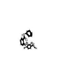 O=C(Nc1ccccc1)c1ccccc1-n1nc2c([n+]1[O-])CCc1c-2no[n+]1[O-]